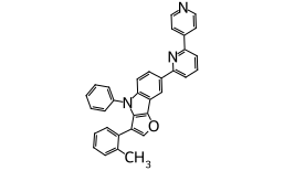 Cc1ccccc1-c1coc2c3cc(-c4cccc(-c5ccncc5)n4)ccc3n(-c3ccccc3)c12